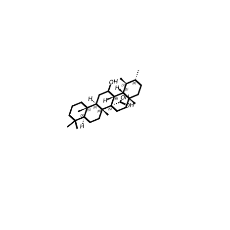 C[C@@H]1[C@H]2[C@H]3C(O)C[C@@H]4[C@@]5(C)CCCC(C)(C)[C@@H]5CC[C@@]4(C)[C@]3(C(O)O)CC[C@@]2(C)CC[C@H]1C